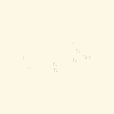 O=C(O)c1ccc2c(cnn2CCc2cc(=O)n3cc[nH]c3n2)c1